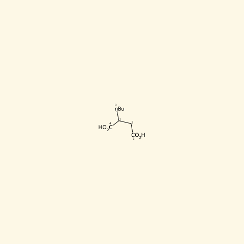 [CH2]CCCC(CC(=O)O)C(=O)O